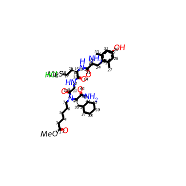 COC(=O)CCCCCN(C(=O)CNC(=O)[C@@H](CCSC)NC(=O)[C@@H](N)Cc1c(C)cc(O)cc1C)[C@@H](CC1CCCCC1)C(N)=O.Cl